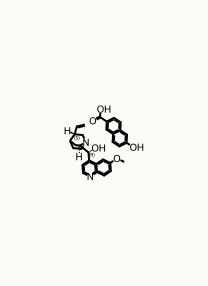 C=C[C@@H]1CN2CCC1C[C@@H]2[C@H](O)c1ccnc2ccc(OC)cc12.O=C(O)c1ccc2cc(O)ccc2c1